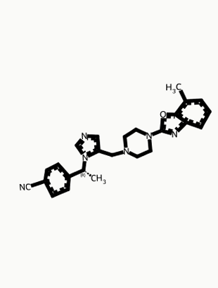 Cc1cccc2nc(N3CCN(Cc4cncn4[C@H](C)c4ccc(C#N)cc4)CC3)oc12